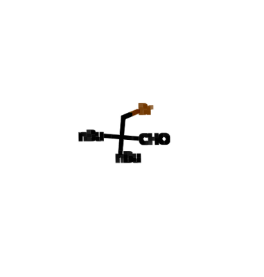 CCCCC(C=O)(CBr)CCCC